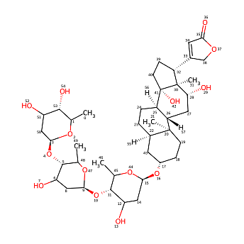 CC1O[C@@H](O[C@H]2C(O)C[C@H](O[C@H]3C(O)C[C@H](O[C@H]4CC[C@@]5(C)[C@H](CC[C@@H]6[C@@H]5C[C@@H](O)[C@]5(C)[C@@H](C7=CC(=O)OC7)CC[C@]65O)C4)OC3C)OC2C)CC(O)[C@@H]1O